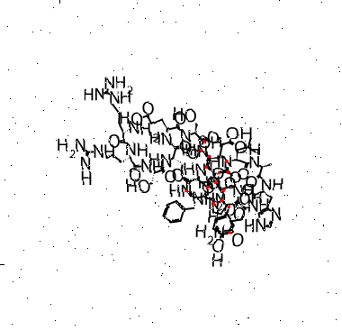 CC(C)C[C@H](NC(=O)[C@H](CCC(=O)O)NC(=O)[C@H](Cc1ccc(O)cc1)NC(=O)[C@H](Cc1ccccc1)NC(=O)[C@@H](NC(=O)[C@H](CCC(=O)O)NC(=O)[C@H](CO)NC(=O)[C@H](CCC(=O)O)NC(=O)[C@H](CCCCN)NC(=O)[C@H](CO)NC(=O)[C@H](CCCNC(=N)N)NC(=O)[C@@H](N)CCCNC(=N)N)C(C)C)C(=O)N[C@@H](C)C(=O)N[C@@H](Cc1c[nH]cn1)C(=O)N[C@@H](CCC(N)=O)C(=O)N[C@@H](CC(C)C)C(=O)N1CCC[C@H]1C(=O)O